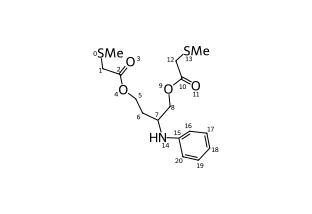 CSCC(=O)OCCC(COC(=O)CSC)Nc1ccccc1